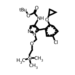 CC(C)(C)OC(=O)Nc1cnn(COCC[Si](C)(C)C)c1-c1cc(Cl)ccc1OC1CC1